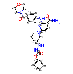 NC(=O)c1ccc(N2CCCC(NNC(=O)Oc3ccccc3)C2)nc1Nc1ccc(C(=O)N2CCOCC2)cc1